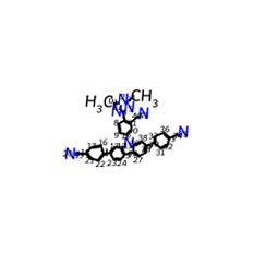 Cc1nc(C)nc(-c2ccc(-n3c4cc(-c5ccc(C#N)cc5)ccc4c4ccc(-c5ccc(C#N)cc5)cc43)cc2C#N)n1